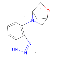 c1cc(N2CC3CC2CO3)c2nn[nH]c2c1